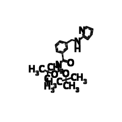 CC(C)(C)OC(=NC(=O)c1cccc(CNc2ccccn2)c1)OC(C)(C)C